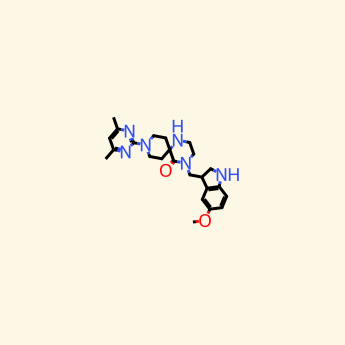 COc1ccc2c(c1)C(CN1CCNC3(CCN(c4nc(C)cc(C)n4)CC3)C1=O)CN2